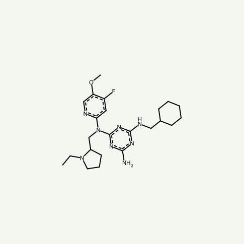 CCN1CCCC1CN(c1cc(F)c(OC)cn1)c1nc(N)nc(NCC2CCCCC2)n1